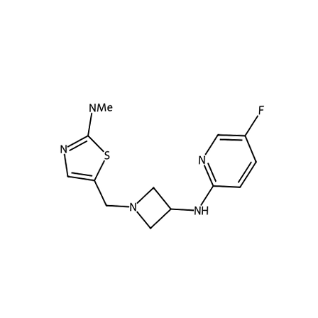 CNc1ncc(CN2CC(Nc3ccc(F)cn3)C2)s1